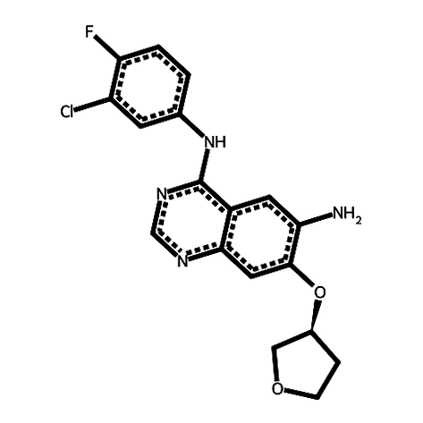 Nc1cc2c(Nc3ccc(F)c(Cl)c3)ncnc2cc1O[C@H]1CCOC1